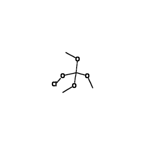 COC(OC)(OC)OCl